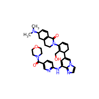 CN(C)C1C=CC2=C(CCN(C3=C(CO)C(c4cc(Nc5ccc(C(=O)N6CCOCC6)cn5)c5nccn5c4)CC=C3)C2=O)C1